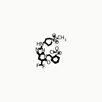 CS(=O)(=O)N1CCC(Nc2ncc3cc(C(F)F)c(=O)n(Cc4ccccc4S(=O)(=O)Cl)c3n2)CC1